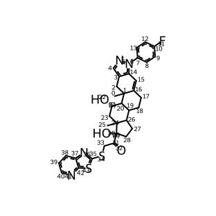 CC12Cc3cnn(-c4ccc(F)cc4)c3C=C1CCC1C2[C@@H](O)CC2(C)C1CC[C@]2(O)C(=O)CSc1nc2cccnc2s1